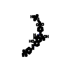 CCS(=O)(=O)c1ccc(/N=N/c2ccc3cc(S(=O)(=O)O)c(/N=N/c4ccc(S(=O)(=O)CCOS(=O)(=O)O)cc4)c(N)c3c2O)cc1